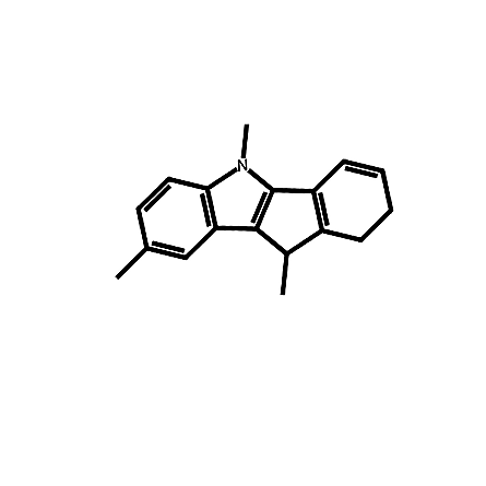 Cc1ccc2c(c1)c1c(n2C)C2=C(CCC=C2)C1C